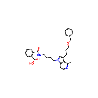 Cc1nccc2c1c(CCCOCc1ccccc1)cn2CCCCNC(=O)c1ccccc1C(=O)O